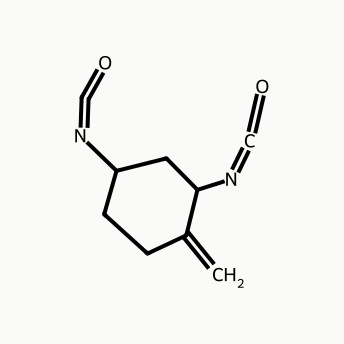 C=C1CCC(N=C=O)CC1N=C=O